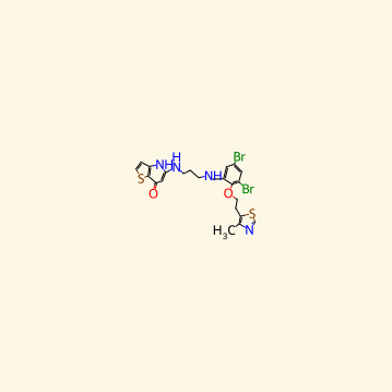 Cc1ncsc1CCOc1c(Br)cc(Br)cc1CNCCCNc1cc(=O)c2sccc2[nH]1